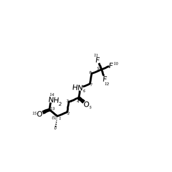 C[C@@H](C[CH]C(=O)NCCC(F)(F)F)C(N)=O